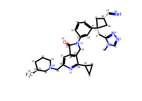 Cn1cnnc1C[C@]1(c2cccc(N3Cc4c(cc(CN5CCC[C@H](C(F)(F)F)C5)nc4C4CC4)C3=O)c2)C[C@H](C=N)C1